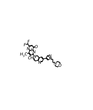 Cc1c(N2CCc3ncc(-c4cnn(CCN5CCOCC5)c4)cc3C2)nn2c(=O)cc(C(F)F)nc2c1C